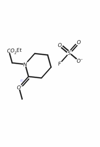 CCOC(=O)CN1CCCC/C1=[O+]\C.O=S(=O)([O-])F